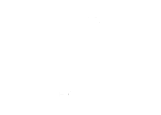 C=CC=C[CH]CCCCCC